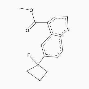 COC(=O)c1ccnc2ccc(C3(F)CCC3)cc12